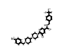 O=C(NCc1ccc(C(F)(F)F)cc1)c1cnc(N2CCN(C3CCN(Cc4ccc(Br)cc4)CC3)CC2)c(Cl)c1